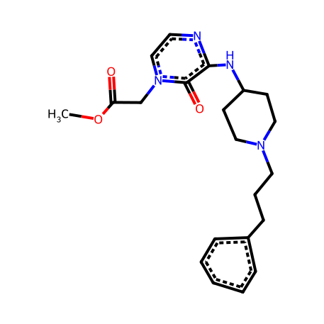 COC(=O)Cn1ccnc(NC2CCN(CCCc3ccccc3)CC2)c1=O